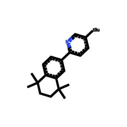 CC(C)(C)c1ccc(-c2ccc3c(c2)C(C)(C)CCC3(C)C)nc1